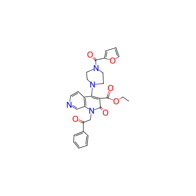 CCOC(=O)c1c(N2CCN(C(=O)c3ccco3)CC2)c2ccncc2n(CC(=O)c2ccccc2)c1=O